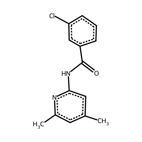 Cc1cc(C)nc(NC(=O)c2cccc(Cl)c2)c1